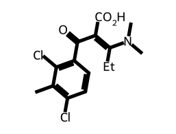 CCC(=C(C(=O)O)C(=O)c1ccc(Cl)c(C)c1Cl)N(C)C